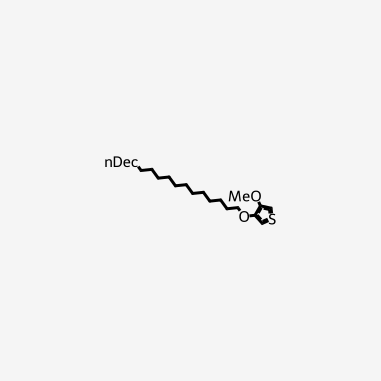 CCCCCCCCCCCCCCCCCCCCCCOc1cscc1OC